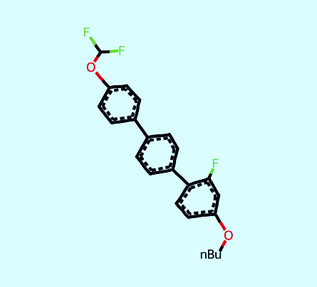 CCCCOc1ccc(-c2ccc(-c3ccc(OC(F)F)cc3)cc2)c(F)c1